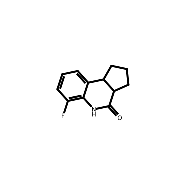 O=C1Nc2c(F)cccc2C2CCCC12